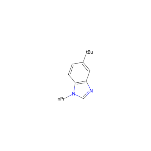 CCCn1cnc2cc(C(C)(C)C)ccc21